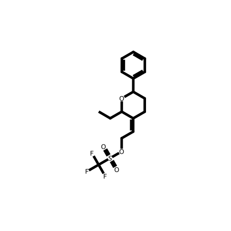 CCC1OC(c2ccccc2)CCC1=CCOS(=O)(=O)C(F)(F)F